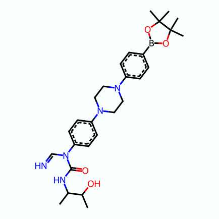 CC(O)C(C)NC(=O)N(C=N)c1ccc(N2CCN(c3ccc(B4OC(C)(C)C(C)(C)O4)cc3)CC2)cc1